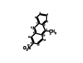 Cc1c2ccccc2nc2cc([N+](=O)[O-])ccc12